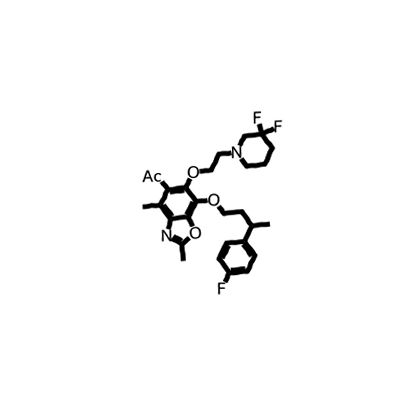 CC(=O)c1c(OCCN2CCCC(F)(F)C2)c(OCCC(C)c2ccc(F)cc2)c2oc(C)nc2c1C